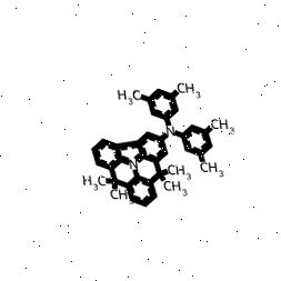 Cc1cc(C)cc(N(c2cc(C)cc(C)c2)c2cc3c4c(c2)c2cccc5c2n4-c2c(cccc2C3(C)C)C5(C)C)c1